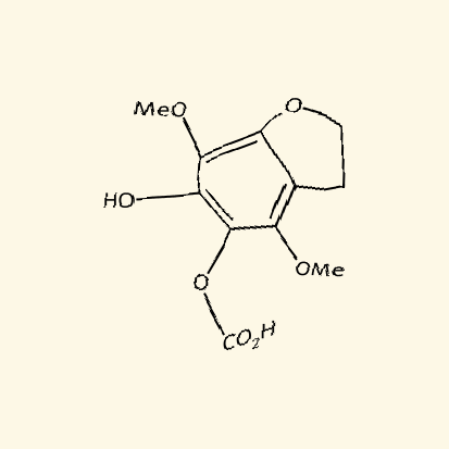 COc1c(O)c(OC(=O)O)c(OC)c2c1OCC2